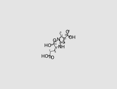 Cc1nc(N[C@@H](CCC(=O)O)C(=O)O)sc1C(=O)O